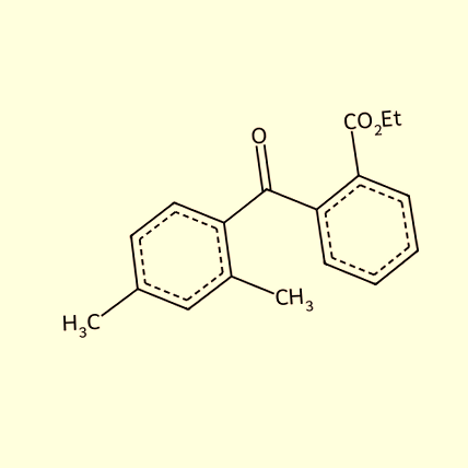 CCOC(=O)c1ccccc1C(=O)c1ccc(C)cc1C